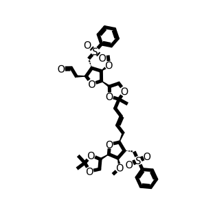 CO[C@@H]1[C@@H](CS(=O)(=O)c2ccccc2)[C@H](C/C=C/CC2(C)OCC([C@H]3O[C@@H](CC=O)[C@H](CS(=O)(=O)c4ccccc4)[C@H]3OC)O2)O[C@@H]1C1COC(C)(C)O1